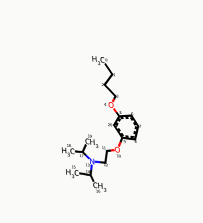 CCCCOc1cccc(OCCN(C(C)C)C(C)C)c1